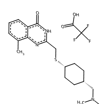 Cc1cccc2c(=O)[nH]c(CS[C@H]3CC[C@@H](CN(C)C)CC3)nc12.O=C(O)C(F)(F)F